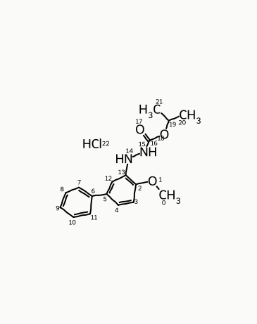 COc1ccc(-c2ccccc2)cc1NNC(=O)OC(C)C.Cl